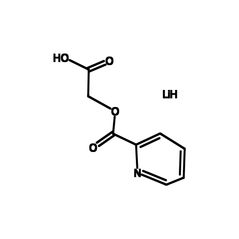 O=C(O)COC(=O)c1ccccn1.[LiH]